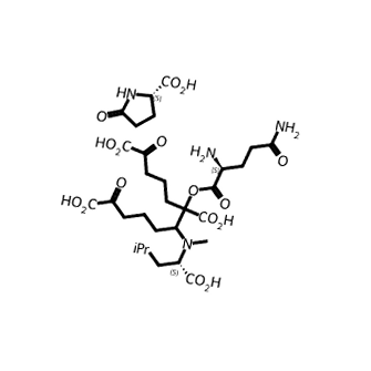 CC(C)C[C@@H](C(=O)O)N(C)C(CCCC(=O)C(=O)O)C(CCCC(=O)C(=O)O)(OC(=O)[C@@H](N)CCC(N)=O)C(=O)O.O=C1CC[C@@H](C(=O)O)N1